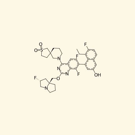 CCc1c(F)ccc2cc(O)cc(-c3c(F)cc4c(N5CCC[C@]6(CCS(=O)(=O)C6)C5)nc(OC[C@@]56CCCN5C[C@H](F)C6)nc4c3F)c12